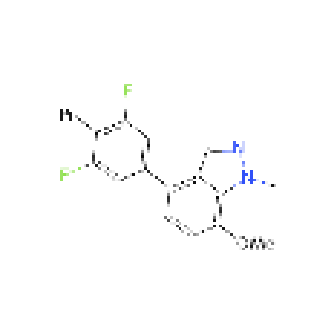 COc1ccc(-c2cc(F)c(C(C)C)c(F)c2)c2cnn(C)c12